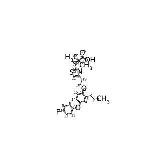 CCCc1cc(Oc2ccc(F)cc2)ccc1OCCc1csc(SC(C)(C)C(=O)O)n1